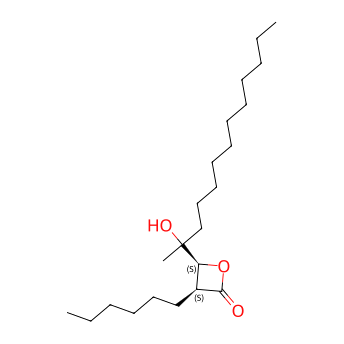 CCCCCCCCCCCC(C)(O)[C@H]1OC(=O)[C@H]1CCCCCC